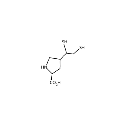 O=C(O)[C@@H]1CC(C(S)CS)CN1